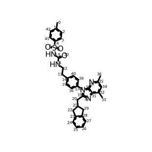 Cc1ccc(S(=O)(=O)NC(=O)NCCc2ccc(-n3c(CC4Cc5ccccc5C4)nc4c(C)cc(C)nc43)cc2)cc1